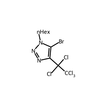 CCCCCCn1nnc(C(Cl)(Cl)C(Cl)(Cl)Cl)c1Br